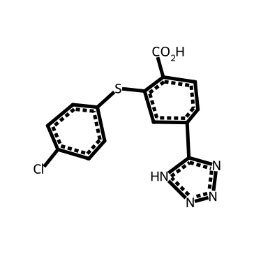 O=C(O)c1ccc(-c2nnn[nH]2)cc1Sc1ccc(Cl)cc1